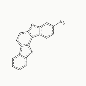 Bc1ccc2c(c1)oc1ccc3c4ccccc4oc3c12